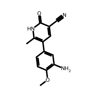 COc1ccc(-c2cc(C#N)c(=O)[nH]c2C)cc1N